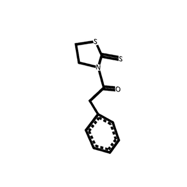 O=C(Cc1ccccc1)N1CCSC1=S